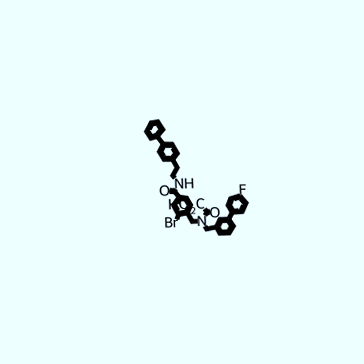 O=C(O)C(=O)N(Cc1cccc(-c2ccc(F)cc2)c1)Cc1ccc(C(=O)NCCc2ccc(-c3ccccc3)cc2)cc1Br